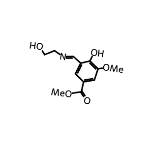 COC(=O)c1cc(/C=N/CCO)c(O)c(OC)c1